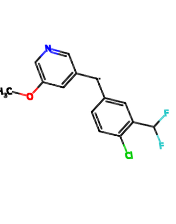 COc1cncc([CH]c2ccc(Cl)c(C(F)F)c2)c1